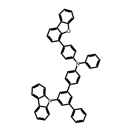 c1ccc(-c2cc(-c3ccc(N(c4ccccc4)c4ccc(-c5cccc6c5oc5ccccc56)cc4)cc3)cc(-n3c4ccccc4c4ccccc43)c2)cc1